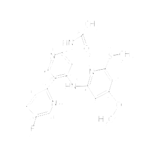 COc1cc(Nc2cc(NC(C)=O)ncc2-c2ccc(F)cn2)nc(SC)c1